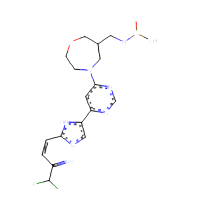 C[S+]([O-])NCC1COCCN(c2cc(-c3cnc(/C=C\C(=N)C(F)F)[nH]3)ncn2)C1